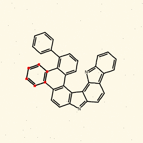 c1ccc(-c2cccc(-c3c(-c4ccccc4)ccc4c3-c3c5c(ccc3=N4)=c3ccccc3=N5)c2-c2ccccc2)cc1